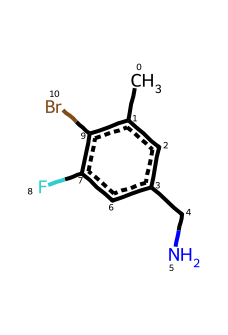 Cc1cc(CN)cc(F)c1Br